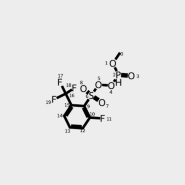 CO[PH](=O)OOS(=O)(=O)c1c(F)cccc1C(F)(F)F